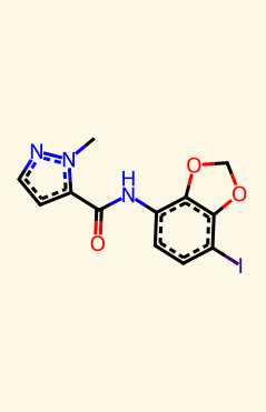 Cn1nccc1C(=O)Nc1ccc(I)c2c1OCO2